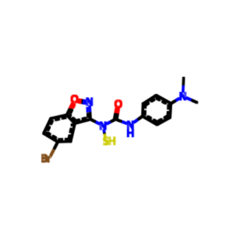 CN(C)c1ccc(NC(=O)N(S)c2noc3ccc(Br)cc23)cc1